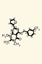 C=C1N(C)C(=O)c2c(SCc3cccc(C(F)(F)F)c3)nc(-c3ccco3)nc2N1C